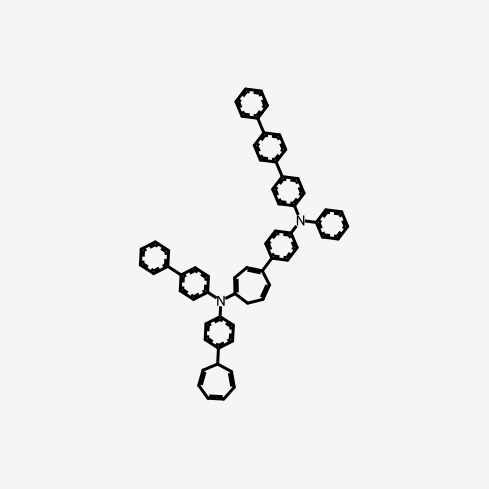 C1=CC=CC(c2ccc(N(C3=CC=C(c4ccc(N(c5ccccc5)c5ccc(-c6ccc(-c7ccccc7)cc6)cc5)cc4)C=CC3)c3ccc(-c4ccccc4)cc3)cc2)C=C1